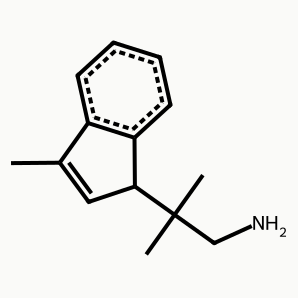 CC1=CC(C(C)(C)CN)c2ccccc21